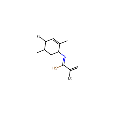 C=C(CC)/C(S)=N/C1CC(C)C(CC)C=C1C